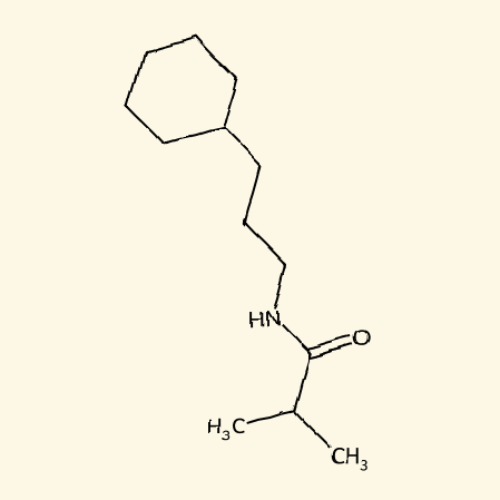 CC(C)C(=O)NCCCC1CCCCC1